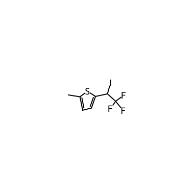 Cc1ccc(C(I)C(F)(F)F)s1